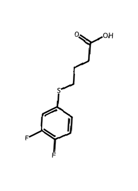 O=C(O)CCCSc1ccc(F)c(F)c1